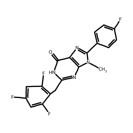 Cn1c(-c2ccc(F)cc2)nc2c(=O)[nH]c(Cc3c(F)cc(F)cc3F)nc21